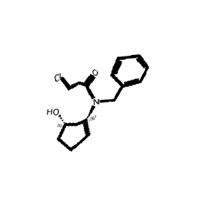 O=C(CCl)N(Cc1ccccc1)[C@H]1CCC[C@@H]1O